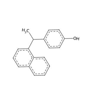 CC(c1ccc(O)cc1)c1cccc2ccccc12